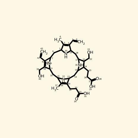 C=CC1=C(C)C2CC3NC(CC4NC(CC5NC(CC1N2)C(CO)C5CCC(=O)O)C(CCC(=O)O)=C4C)C(CO)=C3C=C